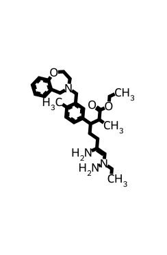 CCOC(=O)C(C)C(CC/C(N)=C/N(N)CC)c1ccc(C)c(CN2CCOc3ccccc3C2)c1